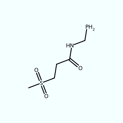 CS(=O)(=O)CCC(=O)NCP